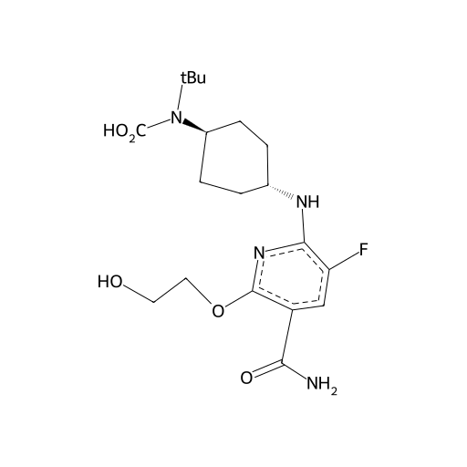 CC(C)(C)N(C(=O)O)[C@H]1CC[C@H](Nc2nc(OCCO)c(C(N)=O)cc2F)CC1